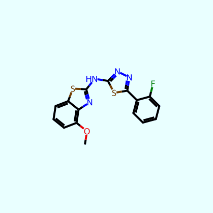 COc1cccc2sc(Nc3nnc(-c4ccccc4F)s3)nc12